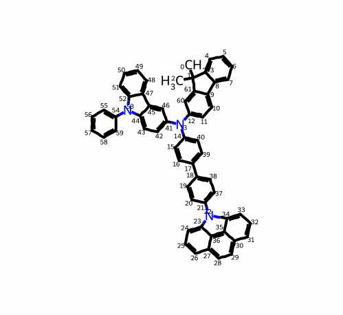 CC1(C)c2ccccc2-c2ccc(N(c3ccc(-c4ccc(-n5c6cccc7ccc8cccc5c8c76)cc4)cc3)c3ccc4c(c3)c3ccccc3n4-c3ccccc3)cc21